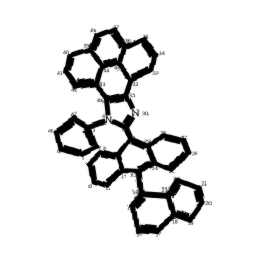 c1ccc(-n2c(-c3c4ccccc4c(-c4cccc5ccccc45)c4ccccc34)nc3c4cccc5ccc6cccc(c6c54)c32)cc1